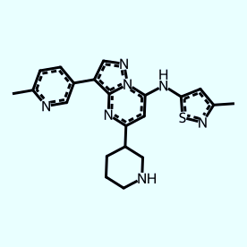 Cc1ccc(-c2cnn3c(Nc4cc(C)ns4)cc(C4CCCNC4)nc23)cn1